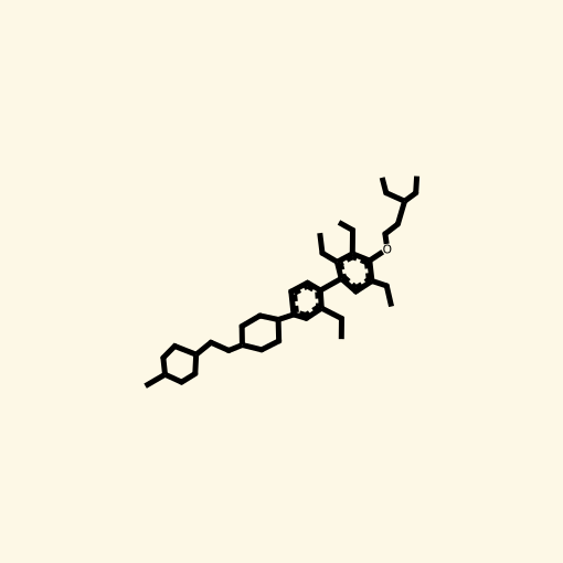 CCc1cc(C2CCC(CCC3CCC(C)CC3)CC2)ccc1-c1cc(CC)c(OCCC(CC)CC)c(CC)c1CC